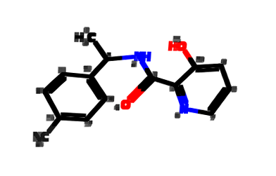 CC(NC(=O)c1ncccc1O)c1ccc(C#N)cc1